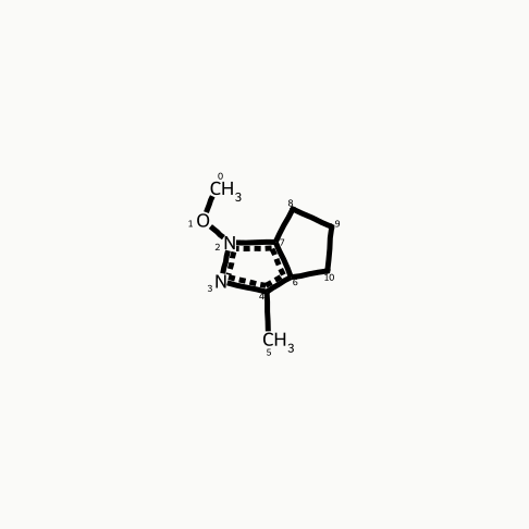 COn1nc(C)c2c1CCC2